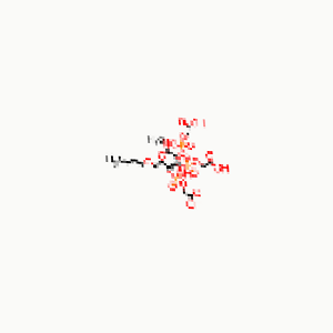 CCCCOC[C@H]1O[C@H](OC)[C@H](OP(=O)(O)OCC(=O)O)[C@@H](OP(=O)(O)OCC(=O)O)[C@@H]1OP(=O)(O)OCC(=O)O